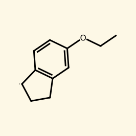 CCOc1ccc2c(c1)CC[CH]2